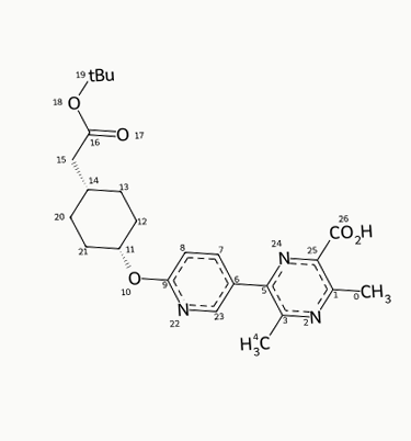 Cc1nc(C)c(-c2ccc(O[C@H]3CC[C@@H](CC(=O)OC(C)(C)C)CC3)nc2)nc1C(=O)O